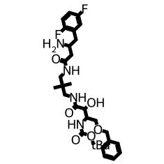 CC(C)(CNC(=O)CC(N)Cc1cc(F)ccc1F)CNC(=O)C(O)C(COCc1ccccc1)NC(=O)OC(C)(C)C